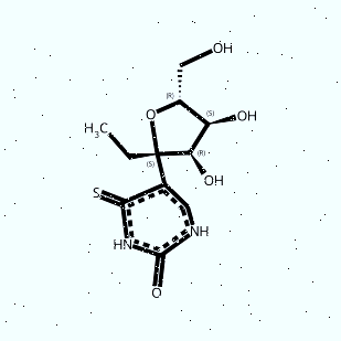 CC[C@@]1(c2c[nH]c(=O)[nH]c2=S)O[C@H](CO)[C@@H](O)[C@H]1O